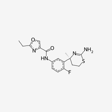 CCc1nc(C(=O)Nc2ccc(F)c([C@]3(C)CCSC(N)=N3)c2)co1